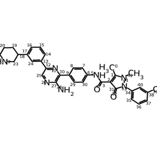 Cc1c(C(=O)Nc2ccc(-c3nc(-c4cccc(C5CCCNC5)c4)cnc3N)cc2)c(=O)n(-c2cccc(Cl)c2)n1C